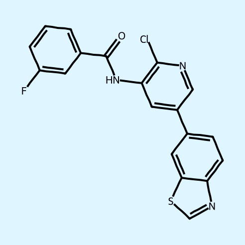 O=C(Nc1cc(-c2ccc3ncsc3c2)cnc1Cl)c1cccc(F)c1